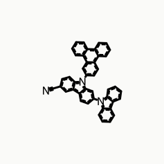 N#Cc1ccc2c(c1)c1ccc(-n3c4ccccc4c4ccccc43)cc1n2-c1ccc2c3ccccc3c3ccccc3c2c1